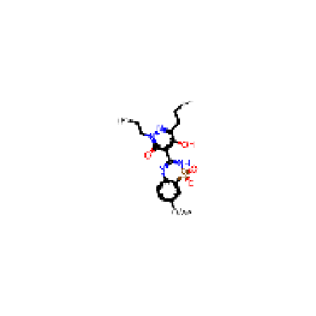 COc1ccc2c(c1)S(=O)(=O)NC(c1c(O)c(CCC(C)C)nn(CCC(C)C)c1=O)=N2